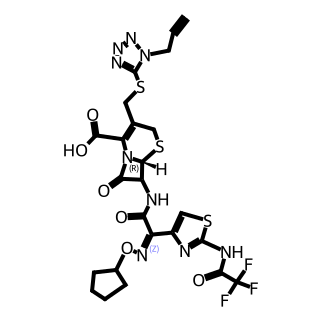 C#CCn1nnnc1SCC1=C(C(=O)O)N2C(=O)C(NC(=O)/C(=N\OC3CCCC3)c3csc(NC(=O)C(F)(F)F)n3)[C@H]2SC1